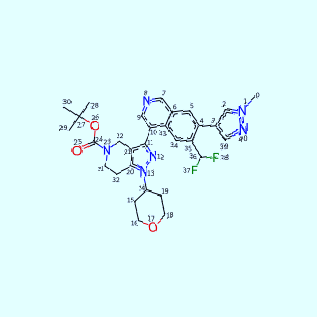 Cn1cc(-c2cc3cncc(-c4nn(C5CCOCC5)c5c4CN(C(=O)OC(C)(C)C)CC5)c3cc2C(F)F)cn1